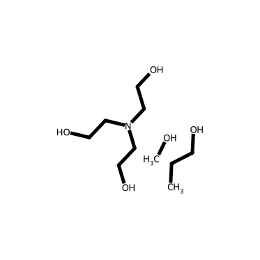 CCCO.CO.OCCN(CCO)CCO